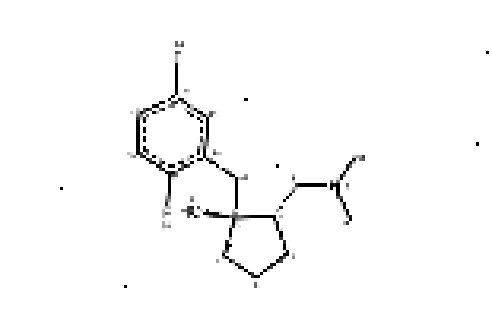 CN(C)C[C@@H]1CCC[C@]1(O)Cc1cc(F)ccc1F